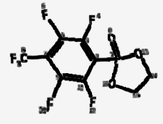 O=P1(c2c(F)c(F)c(C(F)(F)F)c(F)c2F)OCCO1